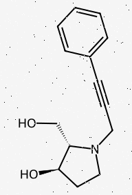 OC[C@H]1[C@H](O)CCN1CC#Cc1ccccc1